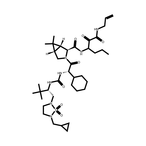 C=CCNC(=O)C(=O)C(CCC)NC(=O)[C@@H]1[C@@H]2[C@H](CN1C(=O)[C@@H](NC(=O)N[C@H](CN1CCN(CC3CC3)S1(=O)=O)C(C)(C)C)C1CCCCC1)C2(C)C